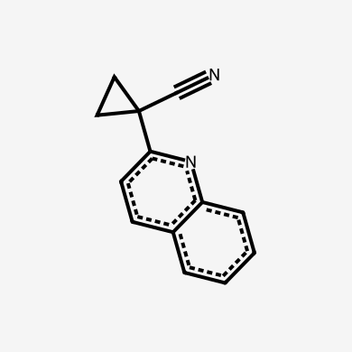 N#CC1(c2ccc3ccccc3n2)CC1